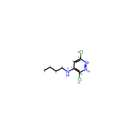 CCCCNc1cc(Cl)nnc1Cl